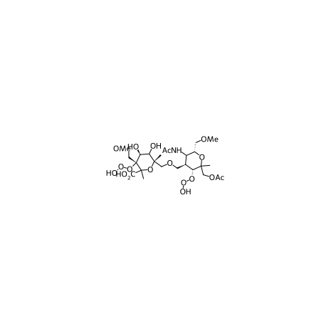 COC[C@@H]1OC(C)(COC(C)=O)[C@H](OOO)[C@@H](COC[C@]2(C)OC(C)(C(=O)O)[C@](COC)(OOO)[C@@H](O)C2O)C1NC(C)=O